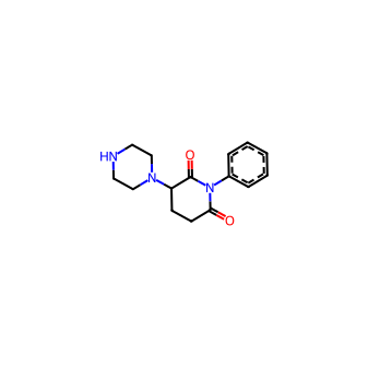 O=C1CCC(N2CCNCC2)C(=O)N1c1ccccc1